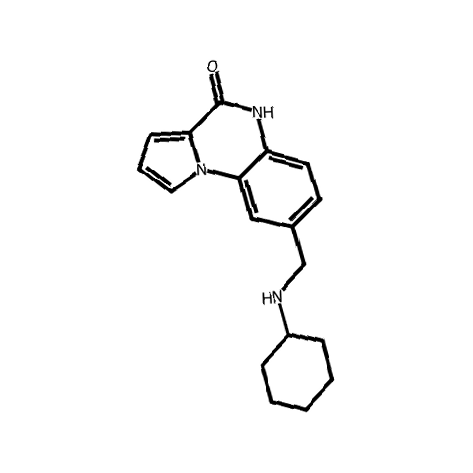 O=c1[nH]c2ccc(CNC3CCCCC3)cc2n2cccc12